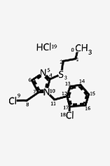 CCCSc1ncc(CCl)n1Cc1ccccc1Cl.Cl